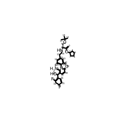 C=C(OC1CCCC1)[C@H](COC(C)(C)C)NCCc1cc(F)c(-n2c(N)c(C(O)C3=C(F)CC(F)C=C3)ccc2=O)c(F)c1